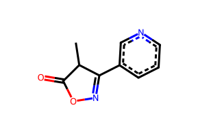 CC1C(=O)ON=C1c1cccnc1